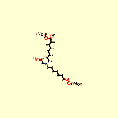 CCCCCCCCCOOCCCCCCCN(CCO)CCCCCCCC(=O)OCCCCCCCCC